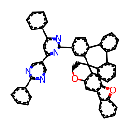 c1ccc(-c2cc(-c3cnc(-c4ccccc4)nc3)nc(-c3ccc4c(c3)C3(c5ccccc5Oc5cc6c(cc53)oc3ccccc36)c3ccccc3-c3ccccc3-4)n2)cc1